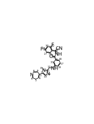 Cn1c(C2=CCC=NC=C2)cnc1CNc1cccc(C(=O)N[C@H](C#N)c2ccc(F)cc2F)c1